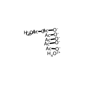 CC(=O)[O-].CC(=O)[O-].CC(=O)[O-].CC(=O)[O-].CC(=O)[O-].CC(=O)[O-].[Co+2].[OH4+2].[OH4+2]